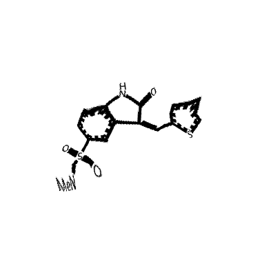 CNS(=O)(=O)c1ccc2c(c1)C(=Cc1cccs1)C(=O)N2